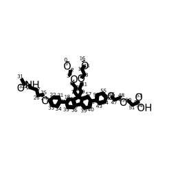 COCCOCCCC1(CCCOCCOC)c2cc(-c3ccc(OCCCCNC(C)=O)cc3)ccc2-c2ccc(-c3ccc(OCCOCCC(=O)O)cc3)cc21